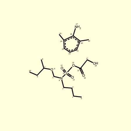 CCCCN(COC(C)CC)S(=O)(=O)OC(=O)CO.Cc1cccc(C)c1N